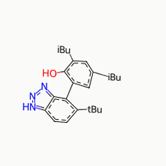 CCC(C)c1cc(-c2c(C(C)(C)C)ccc3[nH]nnc23)c(O)c(C(C)CC)c1